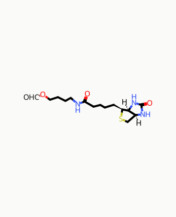 O=COCCCCNC(=O)CCCC[C@@H]1SC[C@@H]2NC(=O)N[C@@H]21